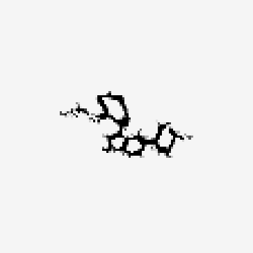 CCOc1ccccc1-c1c[nH]c2ncc(-c3ccc(F)nc3)cc12